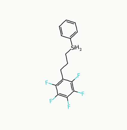 Fc1c(F)c(F)c(CCC[SiH2]c2ccccc2)c(F)c1F